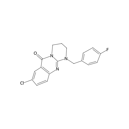 O=c1c2cc(Cl)ccc2nc2n1CCCN2Cc1ccc(F)cc1